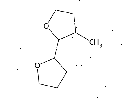 CC1CCOC1C1CCCO1